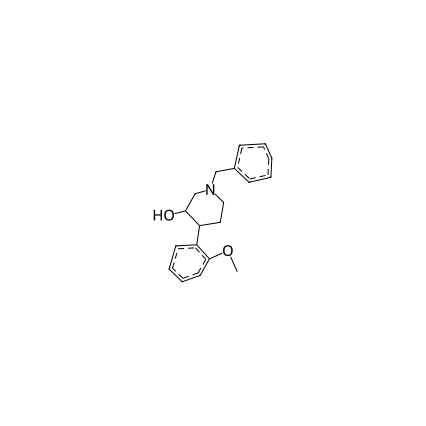 COc1ccccc1C1CCN(Cc2ccccc2)CC1O